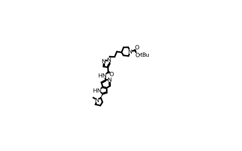 CN1CCC[C@@H]1c1cc2cnc(NC(=O)c3cnn(CCCC4CCN(C(=O)OC(C)(C)C)CC4)c3)cc2[nH]1